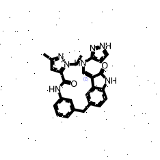 CCn1nc(C)cc1C(=O)Nc1cccc(Cc2ccc3c(c2)/C(=C/Nc2cc[nH]n2)C(=O)N3)c1